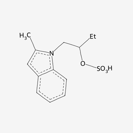 CCC(Cn1c(C)cc2ccccc21)OS(=O)(=O)O